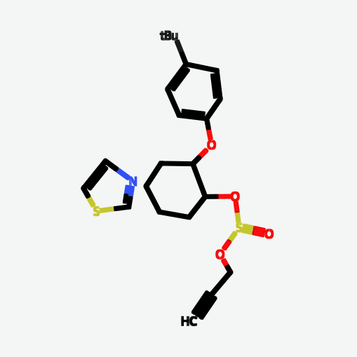 C#CCOS(=O)OC1CCCCC1Oc1ccc(C(C)(C)C)cc1.c1cscn1